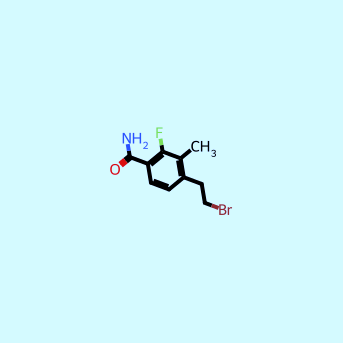 Cc1c(CCBr)ccc(C(N)=O)c1F